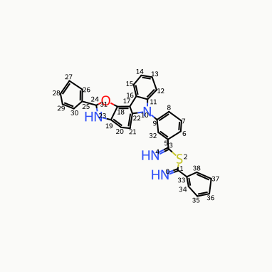 N=C(SC(=N)c1cccc(-n2c3ccccc3c3c4c(ccc32)NC(c2ccccc2)O4)c1)c1ccccc1